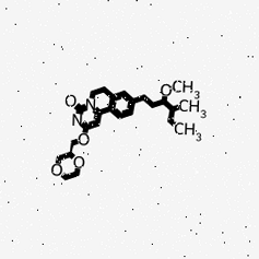 CCC(C)C(CCc1ccc2c(c1)CCn1c-2cc(OC[C@@H]2COCCO2)nc1=O)OC